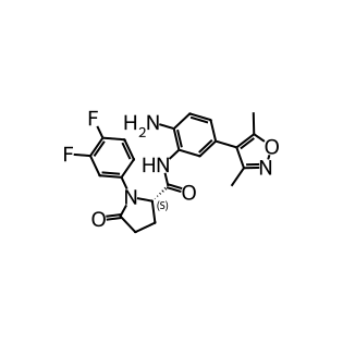 Cc1noc(C)c1-c1ccc(N)c(NC(=O)[C@@H]2CCC(=O)N2c2ccc(F)c(F)c2)c1